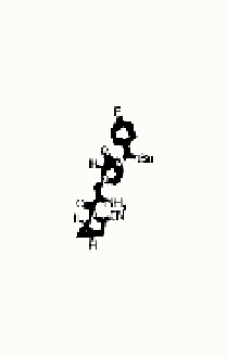 CC(C)(C)C(c1ccc(F)cc1)N1C(=O)[C@@H]2CC1CN2CC(N)C(=O)N1C(C#N)C[C@@H]2C[C@@H]21